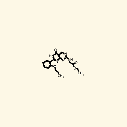 CCCOc1ccccc1-c1nc2nc(NCC(=O)OCC)ncc2c(=O)[nH]1